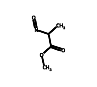 COC(=O)C(C)N=O